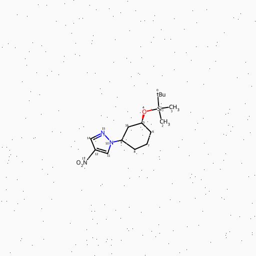 CC(C)(C)[Si](C)(C)O[C@H]1CCCC(n2cc([N+](=O)[O-])cn2)C1